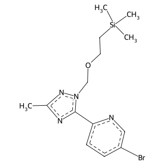 Cc1nc(-c2ccc(Br)cn2)n(COCC[Si](C)(C)C)n1